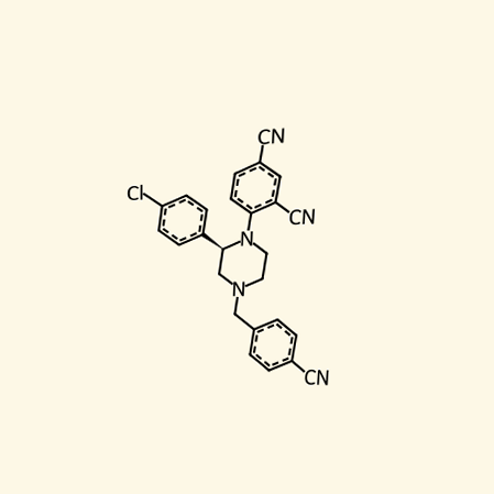 N#Cc1ccc(CN2CCN(c3ccc(C#N)cc3C#N)[C@H](c3ccc(Cl)cc3)C2)cc1